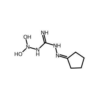 N=C(NN=C1CCCC1)NN(O)O